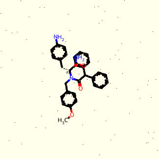 COc1ccc(CN(C(=O)C(c2ccccc2)c2ccccc2)[C@H](Cc2ccc(N)cc2)C(N)=O)cc1